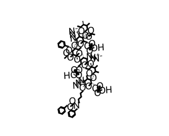 CC(=O)OC1C(C)[C@H](C)C(C)O[C@H]1O[C@@H]1C(COS(=O)(=O)O)O[C@H](O[C@@H]2C(C)O[C@@H](O[C@@H]3C(COS(=O)(=O)O)O[C@H](O[C@@H]4C(C)O[C@@H](O[C@H]5C(C)C(N=[N+]=[N-])[C@@H](OCCCCCN(Cc6ccccc6)C(=O)OCc6ccccc6)O[C@H]5COS(=O)(=O)O)C(C)C4C)C(N=[N+]=[N-])[C@H]3C)C(OC(C)=O)[C@@H]2OCc2ccccc2)C(N=[N+]=[N-])C1C